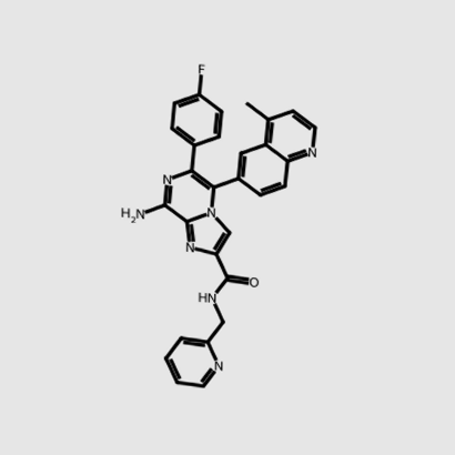 Cc1ccnc2ccc(-c3c(-c4ccc(F)cc4)nc(N)c4nc(C(=O)NCc5ccccn5)cn34)cc12